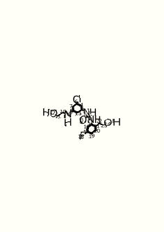 O=C(Nc1cc(Cl)cc(NCCO)c1)Nc1cc(F)ccc1CCO